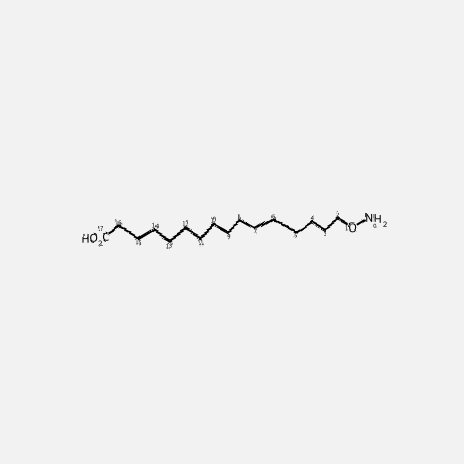 NOCCCCCCCCCCCCCCCC(=O)O